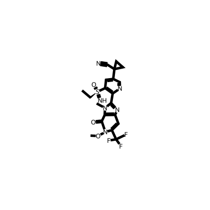 CC[S@@](=N)(=O)c1cc(C2(C#N)CC2)cnc1-c1nc2cc(C(F)(F)F)n(OC)c(=O)c2n1C